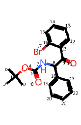 CC(C)(C)OC(=O)NC(C(=O)c1ccccc1Br)c1ccccc1